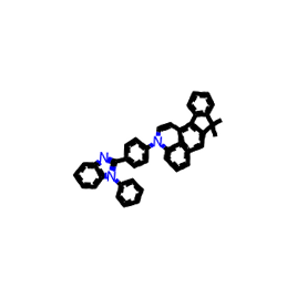 CC1(C)c2ccccc2-c2c1cc1cccc3c1c2C=CN3c1ccc(-c2nc3ccccc3n2-c2ccccc2)cc1